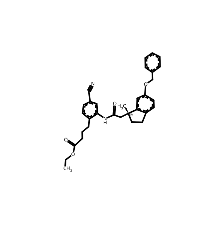 CCOC(=O)CCCc1ccc(C#N)cc1NC(=O)C[C@@]1(C)CCc2ccc(OCc3ccccc3)cc21